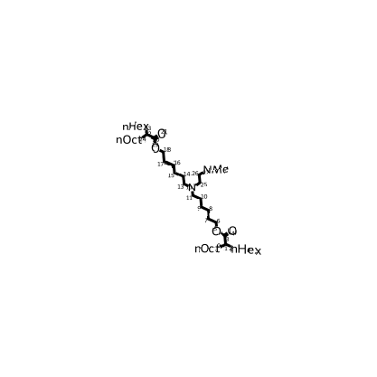 CCCCCCCCC(CCCCCC)C(=O)OCCCCCCN(CCCCCCOC(=O)C(CCCCCC)CCCCCCCC)CCNC